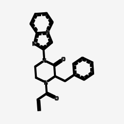 C=CC(=O)N1CCN(c2cn3ccccc3n2)C(=O)C1Cc1ccccc1